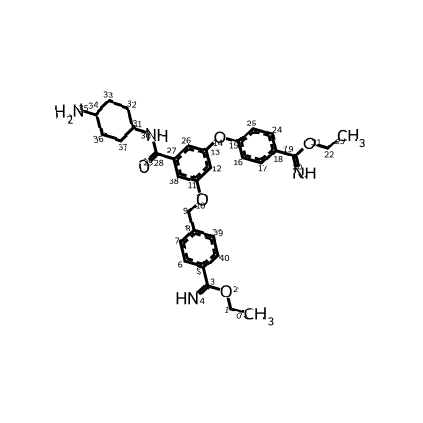 CCOC(=N)c1ccc(COc2cc(Oc3ccc(C(=N)OCC)cc3)cc(C(=O)NC3CCC(N)CC3)c2)cc1